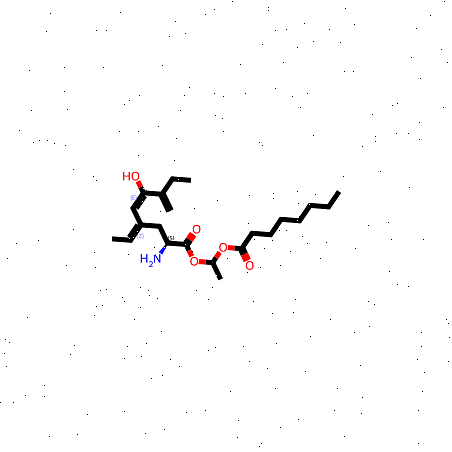 C=C(CC)/C(O)=C\C(=C/C)C[C@H](N)C(=O)OC(C)OC(=O)CCCCCCC